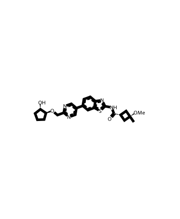 CO[C@]1(C)C[C@H](C(=O)Nc2nc3ccc(-c4cnc(CO[C@H]5CCC[C@@H]5O)nc4)cc3s2)C1